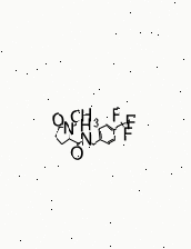 CCN1C(=O)CCC1C(=O)NCc1ccc(C(F)(F)F)cc1